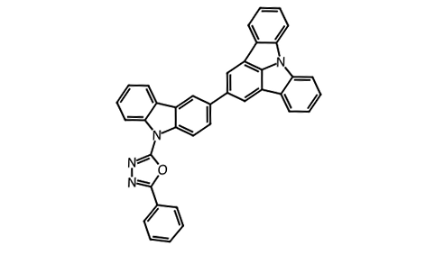 c1ccc(-c2nnc(-n3c4ccccc4c4cc(-c5cc6c7ccccc7n7c8ccccc8c(c5)c67)ccc43)o2)cc1